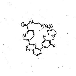 CN(C)CCN(C)C(=O)c1ccc(-c2cnc3cccc(-c4cc(F)c(CN5CCS(=O)(=O)CC5)c(F)c4)c3n2)cn1